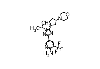 CC(C)n1nc(-c2cnc(N)c(C(F)(F)F)c2)nc1[C@H]1CC[C@@H](N2CCOCC2)C1